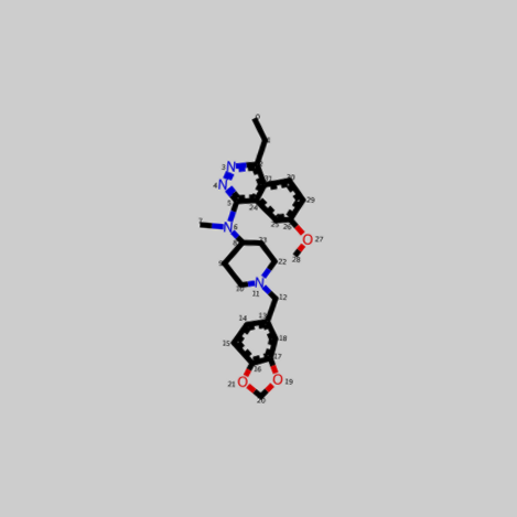 CCc1nnc(N(C)C2CCN(Cc3ccc4c(c3)OCO4)CC2)c2cc(OC)ccc12